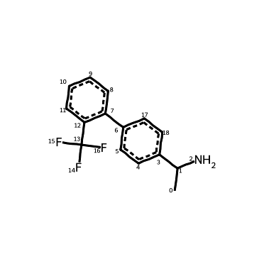 CC(N)c1ccc(-c2ccccc2C(F)(F)F)cc1